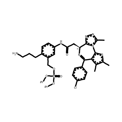 Cc1sc2c(c1C)C(c1ccc(Cl)cc1)=N[C@@H](CC(=O)Nc1ccc(CCCN)c(COP(=O)(OC(C)C)OC(C)C)c1)c1nnc(C)n1-2